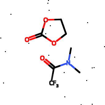 CN(C)C(=O)C(F)(F)F.O=C1OCCO1